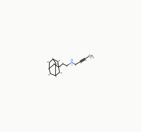 CC#CCNCCC12CC3CC(CC(C3)C1)C2